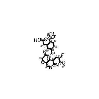 COc1nc2ncc3c(c2cc1F)N(Cc1ccc(S(N)(=O)=O)c(CCO)c1)C(=O)CO3